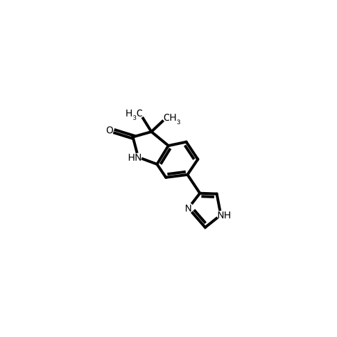 CC1(C)C(=O)Nc2cc(-c3c[nH]cn3)ccc21